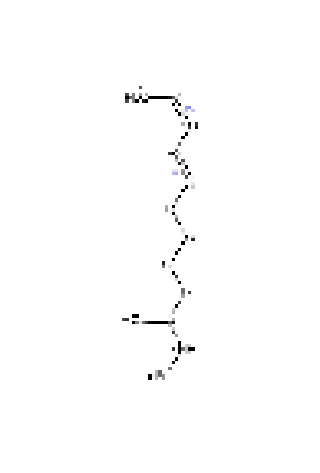 C/C=C\C=C\CCCCC(=O)NCCC